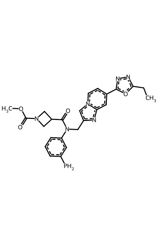 CCc1nnc(-c2ccn3cc(CN(C(=O)C4CN(C(=O)OC)C4)c4cccc(P)c4)nc3c2)o1